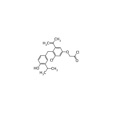 C=C(C)c1cc(OCC(=O)Cl)cc(Cl)c1Cc1ccc(O)c(C(C)C)c1